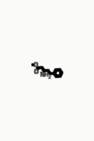 COC(=O)C[C@H](N)CCc1ccccc1